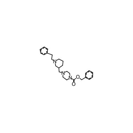 O=C(OCc1ccccc1)N1CCN(CC2CCCN(CCc3ccccc3)C2)CC1